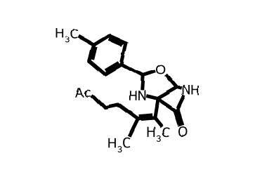 CC(=O)CCC(C)=C(C)C12NC(c3ccc(C)cc3)OC1NC2=O